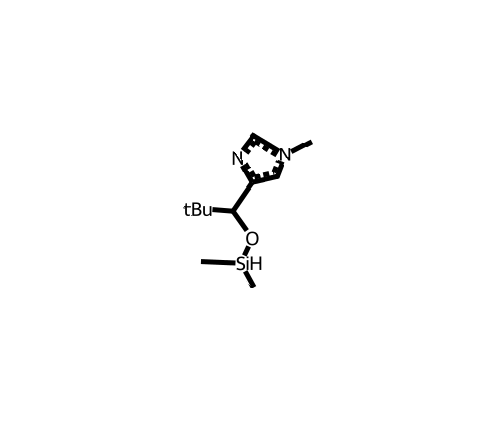 Cn1cnc(C(O[SiH](C)C)C(C)(C)C)c1